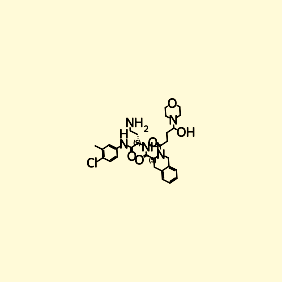 Cc1cc(NC(=O)[C@H](CCN)NC(=O)[C@@H]2Cc3ccccc3CN2C(=O)CCC(O)N2CCOCC2)ccc1Cl